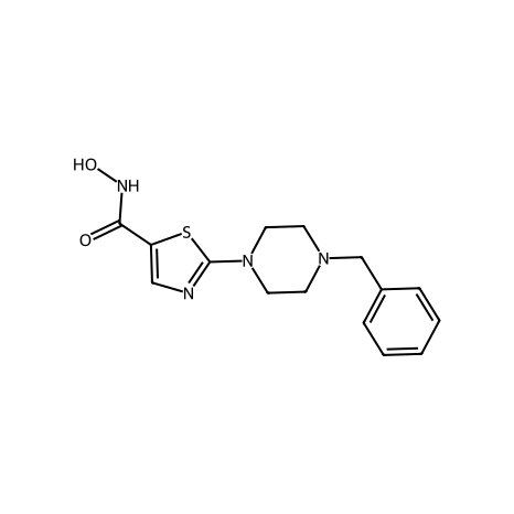 O=C(NO)c1cnc(N2CCN(Cc3ccccc3)CC2)s1